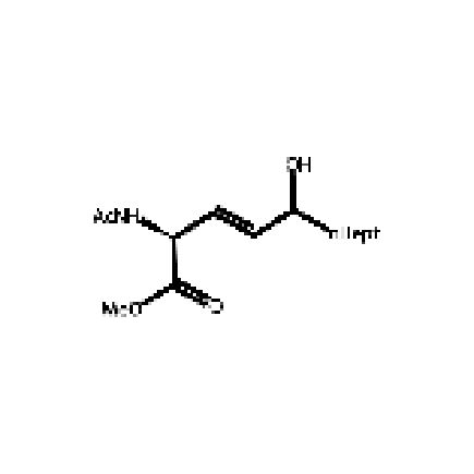 CCCCCCCC(O)/C=C/[C@H](NC(C)=O)C(=O)OC